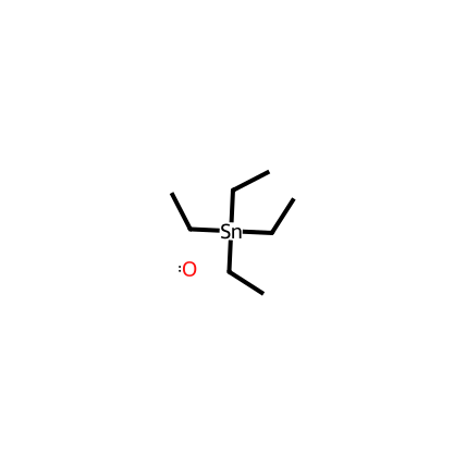 C[CH2][Sn]([CH2]C)([CH2]C)[CH2]C.[O]